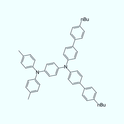 CCCCc1ccc(-c2ccc(N(c3ccc(-c4ccc(CCCC)cc4)cc3)c3ccc(N(c4ccc(C)cc4)c4ccc(C)cc4)cc3)cc2)cc1